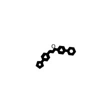 O=C(C=Cc1ccc(C2CCCC2)cc1)c1ccc(C2CCCCC2)cc1